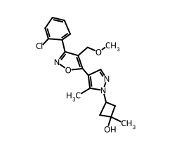 COCc1c(-c2ccccc2Cl)noc1-c1cnn(C2CC(C)(O)C2)c1C